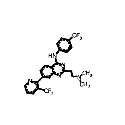 CN(C)CCc1nc(Nc2ccc(C(F)(F)F)cc2)c2ccc(-c3ncccc3C(F)(F)F)cc2n1